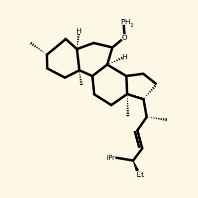 CC[C@H](/C=C/[C@@H](C)[C@H]1CCC2[C@@H]3C(OP)C[C@@H]4C[C@@H](C)CC[C@]4(C)C3CC[C@@]21C)C(C)C